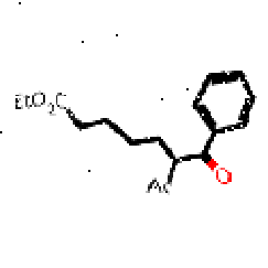 CCOC(=O)CCCCC(C(C)=O)C(=O)c1ccccc1